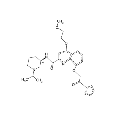 COCCOc1cc(C(=O)N[C@@H]2CCCN(C(C)C)C2)nc2c(OCC(=O)c3cccs3)cccc12